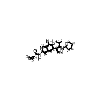 CC(C)c1c(-c2cc(N)c3cnc(NC(=O)[C@@H]4C[C@@H]4F)cc3c2)cnn1C1CCCCO1